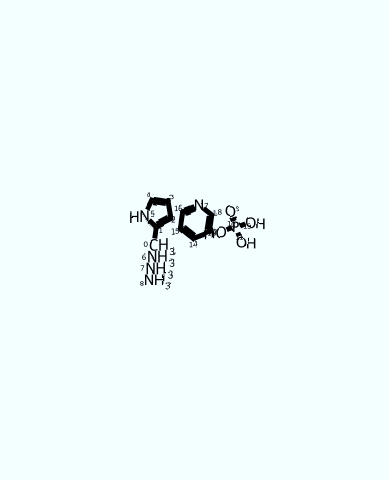 Cc1ccc[nH]1.N.N.N.O=P(O)(O)O.c1ccncc1